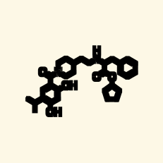 CC(C)c1cc(C(=O)N2CCC(CCNC(Cc3ccccc3)C(=O)OC3CCCC3)CC2)c(O)cc1O